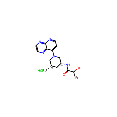 CC(C)C(O)C(=O)N[C@@H]1C[C@H](C(F)(F)F)CN(c2ccnc3nccnc23)C1.Cl